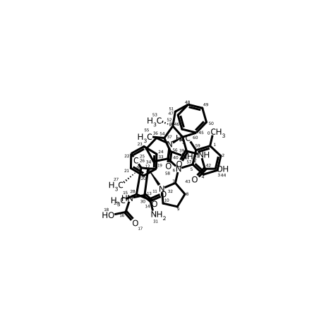 Cc1cccc(N(C2CCCN2[C@]2(C(=O)NC(=O)O)c3ccc(cc3)C[C@]2(C)C(C)C(N)=O)C2CCCN2[C@]2(C(=O)NC(=O)O)c3ccc(cc3)C[C@]2(C)C(C)C(N)=O)c1C